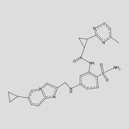 Cc1ccnc(C2CC2C(=O)Nc2cc(NCc3cn4cc(C5CC5)ccc4n3)ccc2S(N)(=O)=O)n1